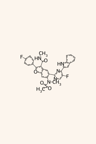 CNC(=O)c1c(-c2ccc(F)cc2)oc2cc(N(C)S(C)(=O)=O)c(-c3ncc(F)c(-c4cc5ccccc5[nH]4)n3)cc12